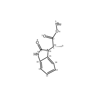 C[C@@H](C(=O)OC(C)(C)C)n1c(=O)[nH]c2ccccc21